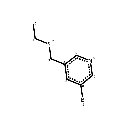 CCSCc1cncc(Br)c1